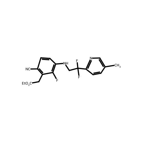 CCOC(=O)Cc1c(C#N)ccc(NCC(F)(F)c2ccc(C)cn2)c1F